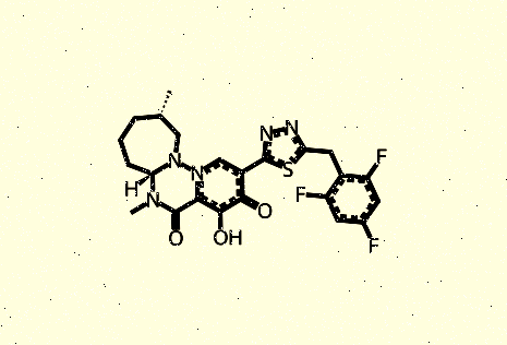 C[C@H]1CCC[C@H]2N(C)C(=O)c3c(O)c(=O)c(-c4nnc(Cc5c(F)cc(F)cc5F)s4)cn3N2C1